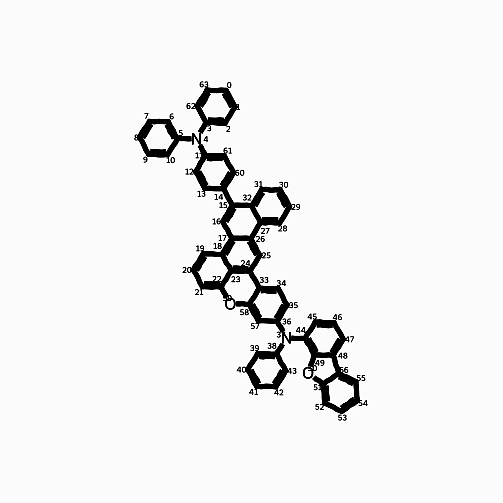 c1ccc(N(c2ccccc2)c2ccc(-c3cc4c5cccc6c5c(cc4c4ccccc34)-c3ccc(N(c4ccccc4)c4cccc5c4oc4ccccc45)cc3O6)cc2)cc1